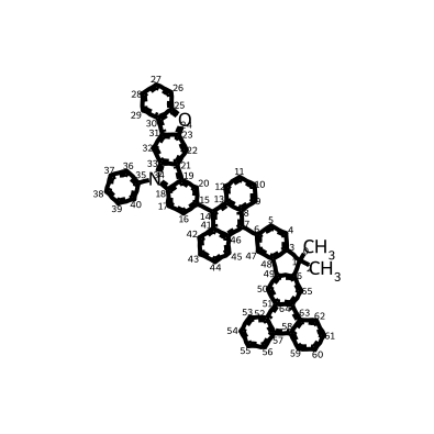 CC1(C)c2ccc(-c3c4ccccc4c(-c4ccc5c(c4)c4cc6oc7ccccc7c6cc4n5-c4ccccc4)c4ccccc34)cc2-c2cc3c4ccccc4c4ccccc4c3cc21